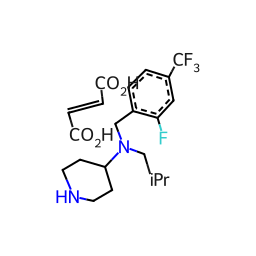 CC(C)CN(Cc1ccc(C(F)(F)F)cc1F)C1CCNCC1.O=C(O)C=CC(=O)O